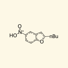 CCCCc1cc2cc([N+](=O)O)ccc2o1